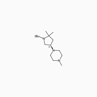 CN1CCN([C@H]2CN(C(C)(C)C)C(C)(C)C2)CC1